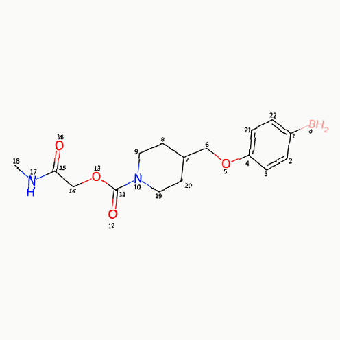 Bc1ccc(OCC2CCN(C(=O)OCC(=O)NC)CC2)cc1